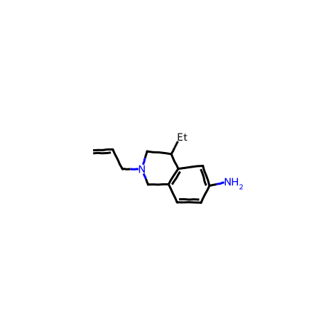 C=CCN1Cc2ccc(N)cc2C(CC)C1